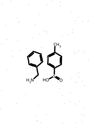 Cc1ccc(S(=O)O)cc1.NCc1ccccc1